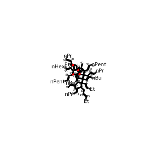 CC=C(C)CC(C=CCC)(C(C=CCCC)CC=CCC)C(C=CCCCC)(CC(C)=C(C)C)C(CC=CCCC)(CCC=CCC)C(C=CCCCCC)=C(C)C(CC=CCCCC)(CCC=CCCC)[C](C=CCCCCCC)CC=CCCCCC